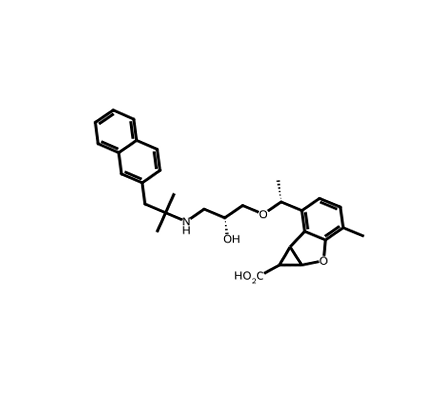 Cc1ccc([C@@H](C)OC[C@H](O)CNC(C)(C)Cc2ccc3ccccc3c2)c2c1OC1C(C(=O)O)C21